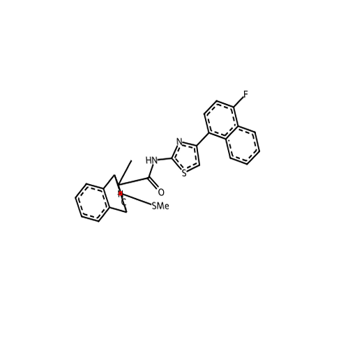 CSC1=NC2c3ccccc3C1CC2(C)C(=O)Nc1nc(-c2ccc(F)c3ccccc23)cs1